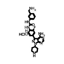 Cl.Cl.NCc1cccc(NC(=O)Nc2ccc(-c3nn(C4CCNCC4)c4ncnc(N)c34)cc2F)c1